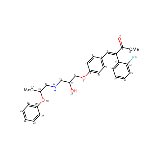 COC(=O)C(=Cc1ccc(OCC(O)CNCC(OC)Oc2ccccc2)cc1)c1ccccc1F